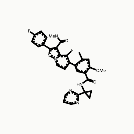 CNC(=O)c1c(-c2ccc(F)cc2)nn2ccc(-c3cc(C(=O)NC4(c5ncccn5)CC4)c(OC)cc3C)c(F)c12